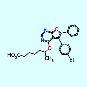 CCc1ccc(-c2c(-c3ccccc3)oc3ncnc(OC(C)CCCCC(=O)O)c23)cc1